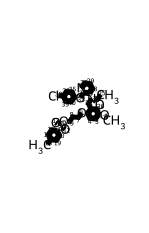 COc1ccc(OCCCOS(=O)(=O)c2ccc(C)cc2)c(CN(C(C)=O)c2cccnc2Oc2ccc(Cl)cc2)c1